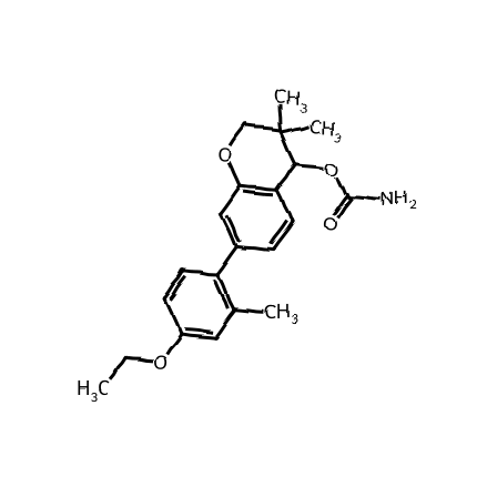 CCOc1ccc(-c2ccc3c(c2)OCC(C)(C)C3OC(N)=O)c(C)c1